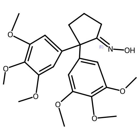 COc1cc(C2(c3cc(OC)c(OC)c(OC)c3)CCC/C2=N\O)cc(OC)c1OC